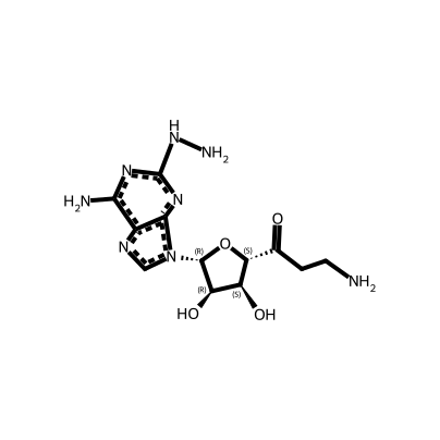 NCCC(=O)[C@H]1O[C@@H](n2cnc3c(N)nc(NN)nc32)[C@H](O)[C@@H]1O